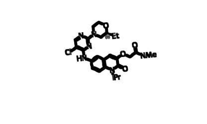 CC[C@H]1CN(c2ncc(Cl)c(Nc3ccc4c(c3)cc(OCC(=O)NC)c(=O)n4C(C)C)n2)CCO1